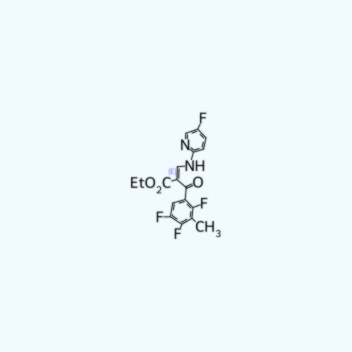 CCOC(=O)/C(=C/Nc1ccc(F)cn1)C(=O)c1cc(F)c(F)c(C)c1F